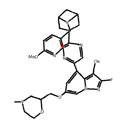 COc1ccc(CN2C3CC2CN(c2cnc(-c4cc(OCC5CN(C)CCO5)cn5nc(F)c(C#N)c45)cn2)C3)cn1